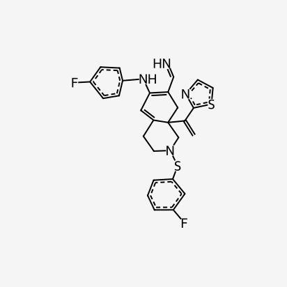 C=C(c1nccs1)C12CC(C=N)=C(Nc3ccc(F)cc3)C=C1CCN(Sc1cccc(F)c1)C2